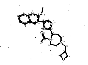 COc1nc2ccccc2cc1-c1cnc(C2CCN(CC3COC3)CCN2C(C)=O)[nH]1